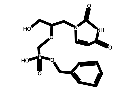 O=c1ccn(CC(CO)OCP(=O)(O)OCc2ccccc2)c(=O)[nH]1